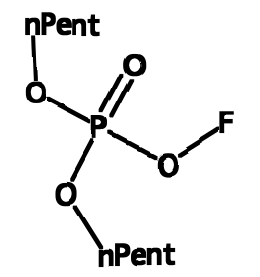 CCCCCOP(=O)(OF)OCCCCC